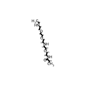 CCNCCOCCOCCNCCOCCNC(=O)CC